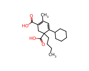 CCCCC1(C(=O)O)CC(C(=O)O)=C(C)C=C1C1CCCCC1